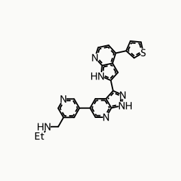 CCNCc1cncc(-c2cnc3[nH]nc(-c4cc5c(-c6ccsc6)ccnc5[nH]4)c3c2)c1